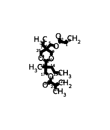 C=CC(=O)OCC1(CC)COC(C(C)(CCC)COC(=O)C(=C)C)OC1